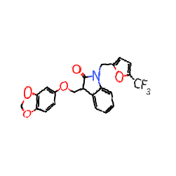 O=C1C(COc2ccc3c(c2)OCO3)c2ccccc2N1Cc1ccc(C(F)(F)F)o1